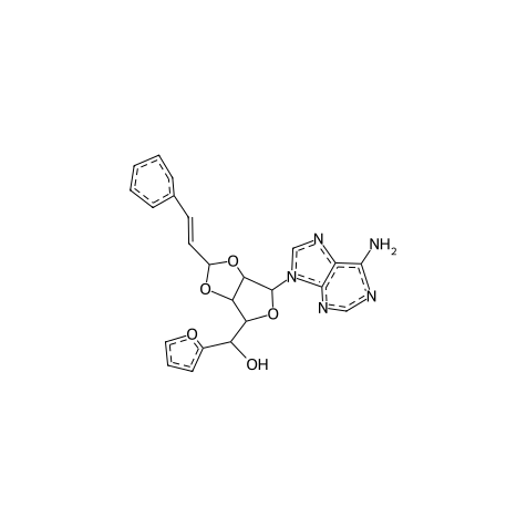 Nc1ncnc2c1ncn2C1OC(C(O)c2ccco2)C2OC(C=Cc3ccccc3)OC21